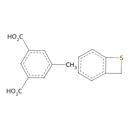 Cc1cc(C(=O)O)cc(C(=O)O)c1.c1ccc2c(c1)CS2